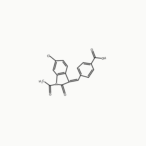 CC(=O)N1C(=O)/C(=C/c2ccc(C(=O)O)cc2)c2ccc(Cl)cc21